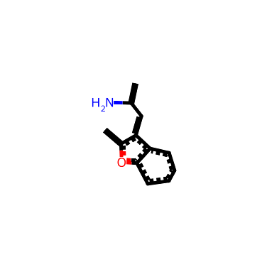 C=C(N)/C=c1\c(=C)oc2ccccc12